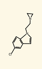 Clc1ccc2c(ccn2CCN2CC2)c1